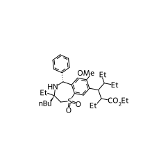 CCCC[C@]1(CC)CS(=O)(=O)c2cc(C(C(CC)CC)C(CC)C(=O)OCC)c(OC)cc2[C@@H](c2ccccc2)N1